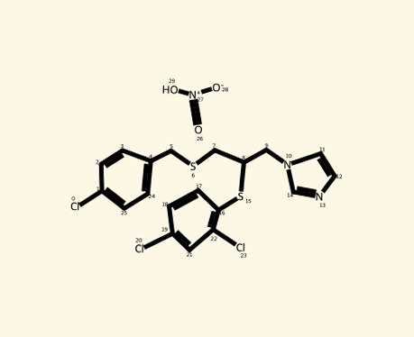 Clc1ccc(CSCC(Cn2ccnc2)Sc2ccc(Cl)cc2Cl)cc1.O=[N+]([O-])O